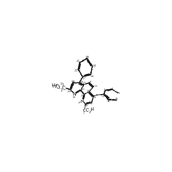 C/C=C\C(=C/C)c1cc(C(=O)O)nc2c1ccc1c(-c3ccccc3)cc(C(=O)O)nc12